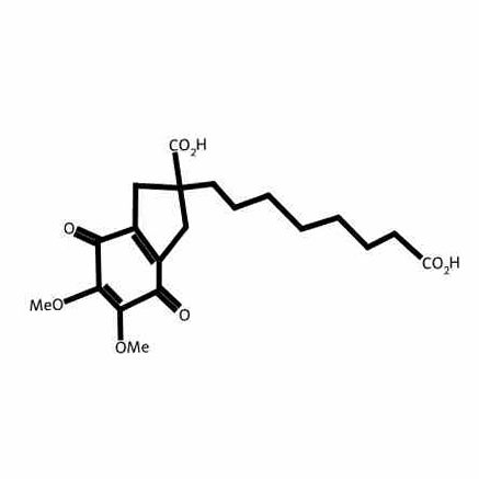 COC1=C(OC)C(=O)C2=C(CC(CCCCCCCC(=O)O)(C(=O)O)C2)C1=O